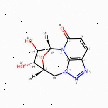 O=c1ccc2nnn3c2n1[C@@H]1O[C@H](C3)[C@H](O)C1O